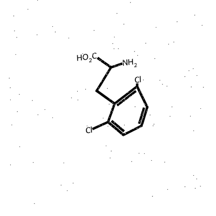 NC(Cc1c(Cl)cccc1Cl)C(=O)O